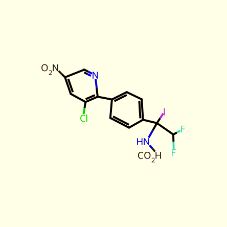 O=C(O)NC(I)(c1ccc(-c2ncc([N+](=O)[O-])cc2Cl)cc1)C(F)F